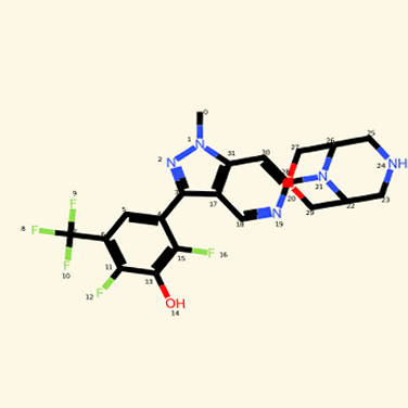 Cn1nc(-c2cc(C(F)(F)F)c(F)c(O)c2F)c2cnc(N3C4CNCC3COC4)cc21